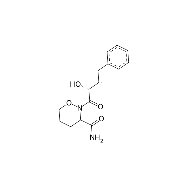 NC(=O)C1CCCON1C(=O)[C@H](O)[CH]Cc1ccccc1